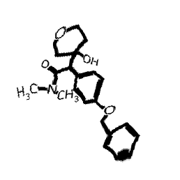 CN(C)C(=O)C(c1ccc(OCc2ccccc2)cc1)C1(O)CCOCC1